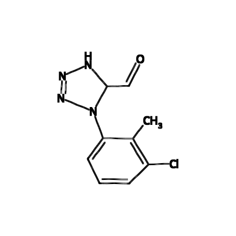 Cc1c(Cl)cccc1N1N=NNC1C=O